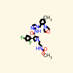 COC(=O)NCCCN1C[C@@H](C(=O)Nc2nccn2Cc2ccc(C)cc2N2CCOCC2)[C@H](c2ccc(F)cc2F)C1